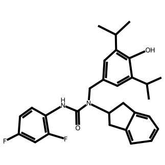 CC(C)c1cc(CN(C(=O)Nc2ccc(F)cc2F)C2Cc3ccccc3C2)cc(C(C)C)c1O